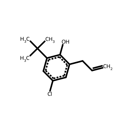 C=CCc1cc(Cl)cc(C(C)(C)C)c1O